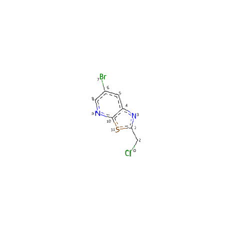 ClCc1nc2cc(Br)cnc2s1